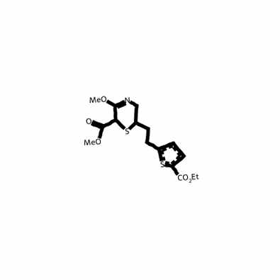 CCOC(=O)c1ccc(CCC2CN=C(OC)C(C(=O)OC)S2)s1